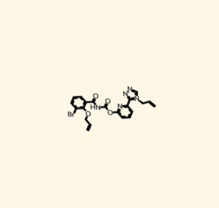 C=CCOc1c(Br)cccc1C(=O)NC(=O)Oc1cccc(-c2nncn2CC=C)n1